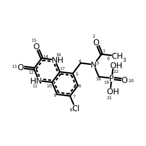 CC(=O)N(Cc1cc(Cl)cc2[nH]c(=O)c(=O)[nH]c12)CP(=O)(O)O